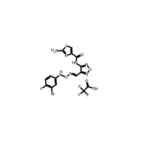 Nc1nc(C(=O)Nc2nonc2/C=N/ONc2ccc(F)c(Br)c2)cs1.O=C(O)C(F)(F)F